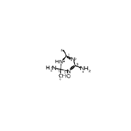 CC1=NC(N)=NC(N)(C=O)N1